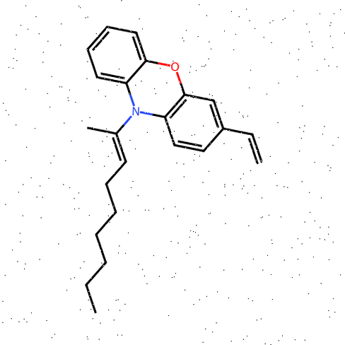 C=Cc1ccc2c(c1)Oc1ccccc1N2C(C)=CCCCCCC